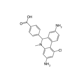 CN1c2cc(N)cc(Cl)c2-c2ccc(N)cc2C1c1ccc(C(=O)O)cc1